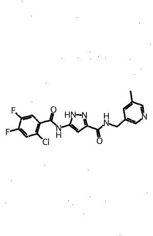 Cc1cncc(CNC(=O)c2cc(NC(=O)c3cc(F)c(F)cc3Cl)[nH]n2)c1